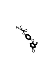 CCC(=O)Oc1ccc(Oc2ccc(Cl)cc2F)cc1